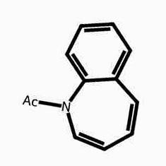 CC(=O)N1C=CC=Cc2ccccc21